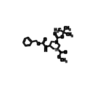 COC(=O)[C@H]1CC(NC(=O)OCc2ccccc2)CN(C(=O)OC(C)(C)C)C1